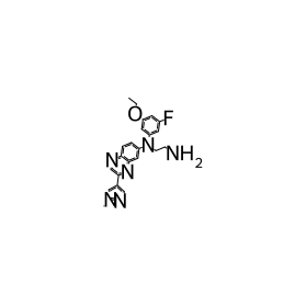 CCOc1cc(F)cc(N(CCN)c2ccc3ncc(-c4cnn(C)c4)nc3c2)c1